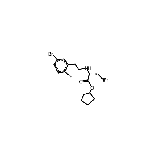 CC(C)C[C@@H](NCCc1cc(Br)ccc1F)C(=O)OC1CCCC1